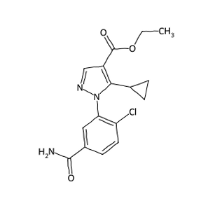 CCOC(=O)c1cnn(-c2cc(C(N)=O)ccc2Cl)c1C1CC1